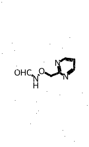 O=CNOCc1ncccn1